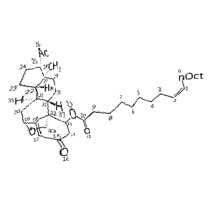 CCCCCCCC/C=C\CCCCCCCC(=O)OC1CC(=O)C=C2C3C[C@H]4[C@@H]5CC[C@H](C(C)=O)[C@@]5(C)CC[C@@H]4[C@]21CO3